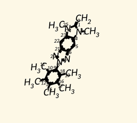 C=C1N(C)c2cc3nn(-c4c(C)c(C)c(C)c(C)c4C)nc3cc2N1C